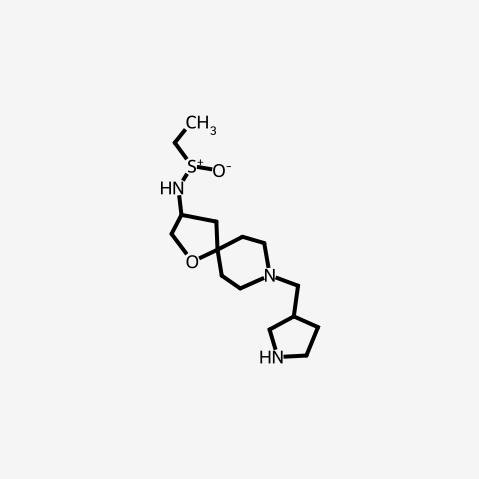 CC[S+]([O-])NC1COC2(CCN(CC3CCNC3)CC2)C1